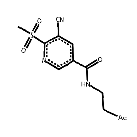 CC(=O)CCNC(=O)c1cnc(S(C)(=O)=O)c(C#N)c1